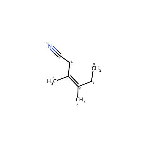 CCC(C)=C(C)CC#N